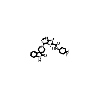 Cn1c(C(=O)NC2CCC(F)(F)CC2)nc2c(N3CCC4(CC3)C(=O)Nc3ccccc34)ncnc21